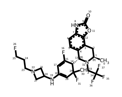 C[C@@H]1Cc2c(ccc3[nH]c(=O)oc23)[C@@H](C2C(F)=CC(NC3CN(CCCF)C3)=CC2(C)F)N1CC(F)(F)F